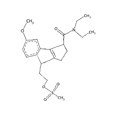 CCN(CC)C(=O)C1CCC2=C1c1cc(OC)ccc1C2CCOS(C)(=O)=O